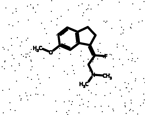 COc1ccc2c(c1)/C(=C(/F)CN(C)C)CC2